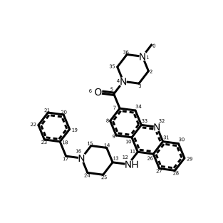 CN1CCN(C(=O)c2ccc3c(NC4CCN(Cc5ccccc5)CC4)c4ccccc4nc3c2)CC1